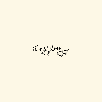 Cc1cn2c(Nc3cc([C@@H]4OC[C@H](OC(=O)NC(C)C)[C@H]4F)[nH]n3)nccc2n1